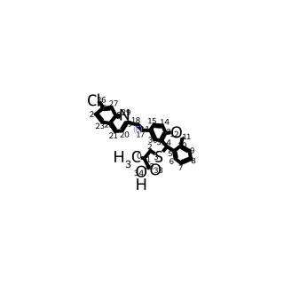 CC(CSC1c2ccccc2COc2ccc(/C=C/c3ccc4ccc(Cl)cc4n3)cc21)C(=O)O